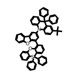 CC(C)(C)c1ccc2c(c1)C(c1ccccc1)(c1ccccc1)c1ccccc1N2c1cc(-c2cccc3c2Oc2ccccc2[Si]3(c2ccccc2)c2ccccc2)c2oc3ccccc3c2c1